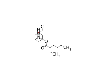 CCCCC(CC)C(=O)OC12CNCC(C1)N2CCCl